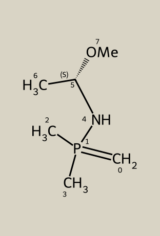 C=P(C)(C)N[C@H](C)OC